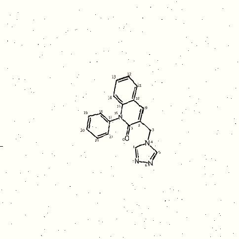 O=c1c(Cn2cnnc2)cc2ccccc2n1-c1ccccc1